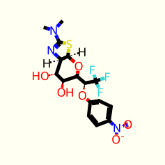 CN(C)C1=N[C@@H]2[C@@H](O)[C@H](O)C([C@@H](Oc3ccc([N+](=O)[O-])cc3)C(F)(F)F)O[C@@H]2S1